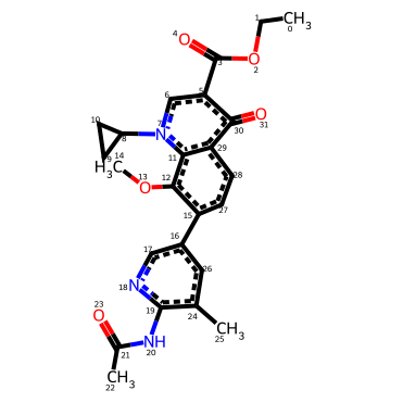 CCOC(=O)c1cn(C2CC2)c2c(OC)c(-c3cnc(NC(C)=O)c(C)c3)ccc2c1=O